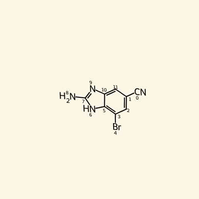 N#Cc1cc(Br)c2[nH]c(N)nc2c1